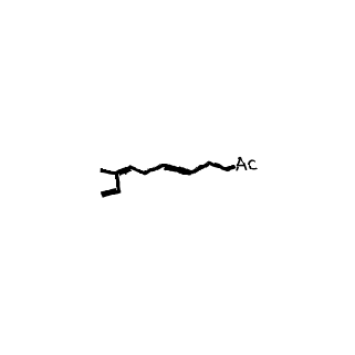 C=CC(C)=CCC=CCCC(C)=O